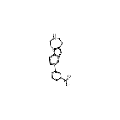 O=[N+]([O-])c1cccc(-c2ccc3c(c2)cc2n3CCNCC2)c1